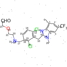 Cc1cc(C(F)(F)F)cc2c1nc(Cc1c(Cl)ccc(CN(C)CCOCC=O)c1Cl)n2C